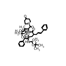 CCC(C)C(NC(=O)C(CC=Cc1ccccc1)CC(O[Si](C)(C)C(C)(C)C)C(Cc1ccccc1)NC(=O)OC(C)(C)C)C(=O)N1CCC(=O)CC1